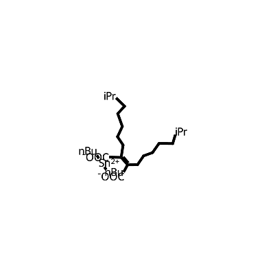 CC(C)CCCCCC(C(=O)[O-])=C(CCCCCC(C)C)C(=O)[O-].CCC[CH2][Sn+2][CH2]CCC